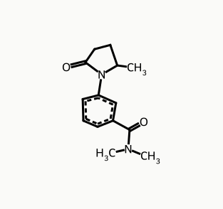 CC1CCC(=O)N1c1cccc(C(=O)N(C)C)c1